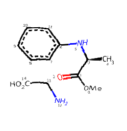 COC(=O)[C@H](C)Nc1ccccc1.NCC(=O)O